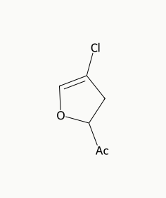 CC(=O)C1CC(Cl)=CO1